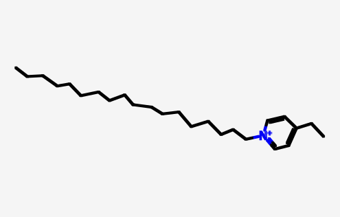 CCCCCCCCCCCCCCCCCC[n+]1ccc(CC)cc1